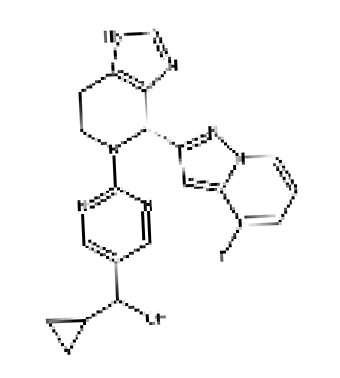 OC(c1cnc(N2CCc3[nH]cnc3[C@@H]2c2cc3c(F)cccn3n2)nc1)C1CC1